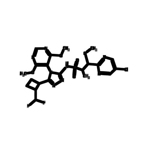 COc1ncnc(OC)c1-n1c(NS(=O)(=O)C(C)C(OC)c2ncc(Cl)cn2)nnc1C1CCC1C(F)F